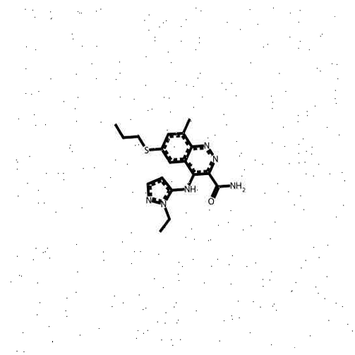 CCCSc1cc(C)c2nnc(C(N)=O)c(Nc3ccnn3CC)c2c1